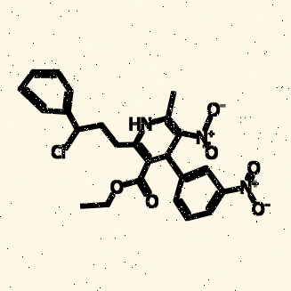 CCOC(=O)C1=C(CCC(Cl)c2ccccc2)NC(C)=C([N+](=O)[O-])C1c1cccc([N+](=O)[O-])c1